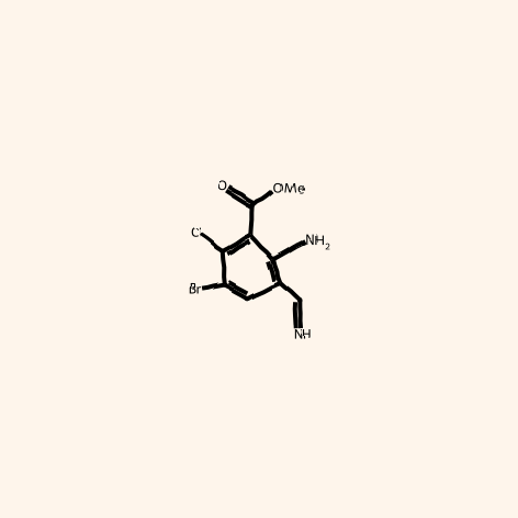 COC(=O)c1c(N)c(C=N)cc(Br)c1Cl